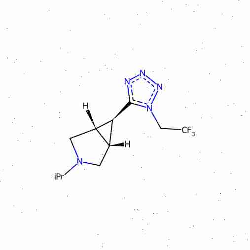 CC(C)N1C[C@@H]2[C@H](C1)[C@H]2c1nnnn1CC(F)(F)F